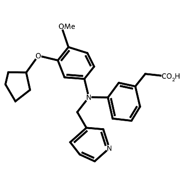 COc1ccc(N(Cc2cccnc2)c2cccc(CC(=O)O)c2)cc1OC1CCCC1